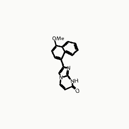 COc1ccc(-c2cn3ccc(=O)[nH]c3n2)c2ccccc12